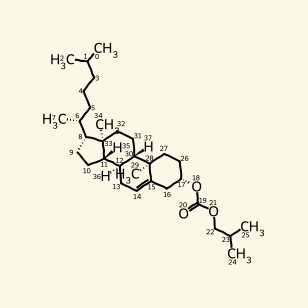 CC(C)CCC[C@@H](C)[C@H]1CC[C@H]2[C@@H]3CC=C4C[C@@H](OC(=O)OCC(C)C)CC[C@]4(C)[C@H]3CC[C@]12C